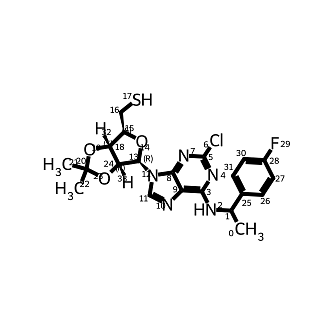 CC(Nc1nc(Cl)nc2c1ncn2[C@@H]1O[C@H](CS)[C@H]2OC(C)(C)O[C@H]21)c1ccc(F)cc1